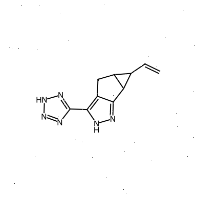 C=CC1C2Cc3c(n[nH]c3-c3nn[nH]n3)C12